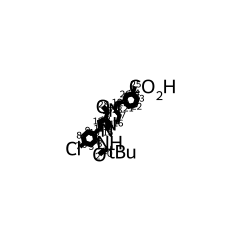 CC(C)(C)C(=O)Nc1cc(Cl)ccc1-c1cc2n(n1)CCN(Cc1cccc(C(=O)O)c1)C2=O